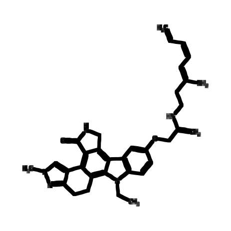 C=C/C=C\C=C(/N)CCNC(=C)COc1ccc2c(c1)c1c3c(c4c(c1n2CC)CCc1nn(C)cc1-4)C(=O)NC3